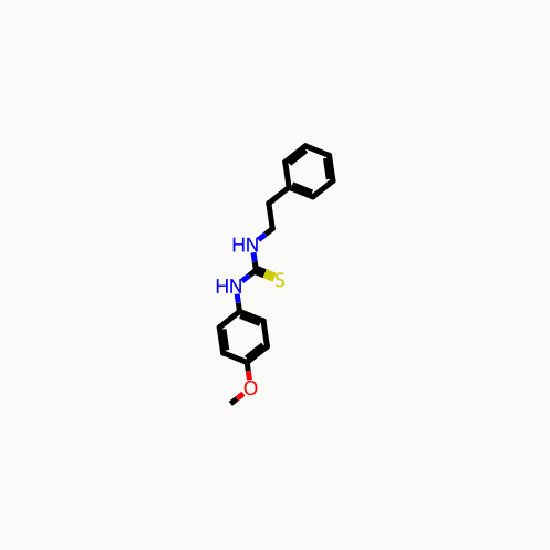 COc1ccc(NC(=S)NCCc2ccccc2)cc1